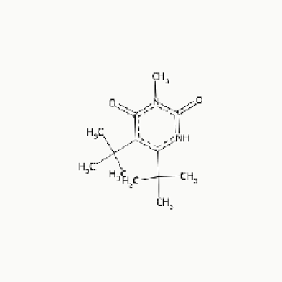 Cn1c(=O)[nH]c(C(C)(C)C)c(C(C)(C)C)c1=O